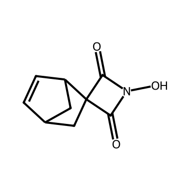 O=C1N(O)C(=O)C12CC1C=CC2C1